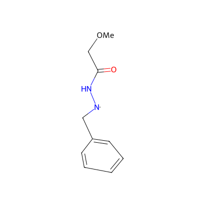 COCC(=O)N[N]Cc1ccccc1